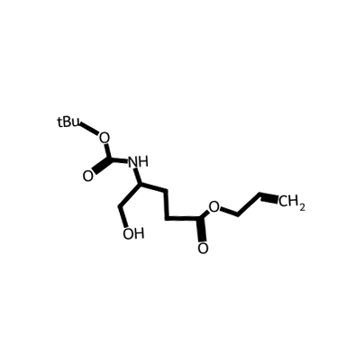 C=CCOC(=O)CCC(CO)NC(=O)OC(C)(C)C